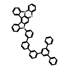 c1ccc(-c2cc(-c3ccccc3)cc(-c3cccc(-c4cccc(-c5cccc(-n6c7ccccc7c7c8c9ccccc9n9c8c(cc76)Oc6ccccc6-9)c5)c4)c3)c2)cc1